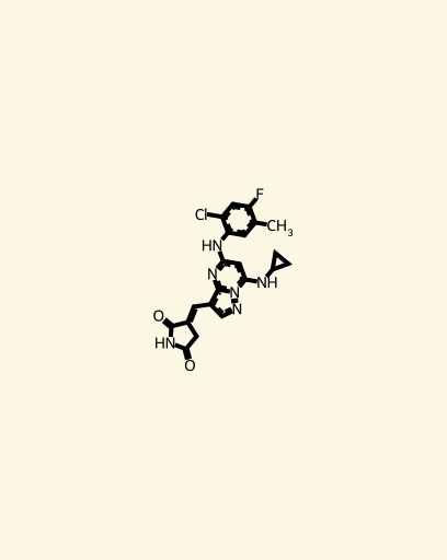 Cc1cc(Nc2cc(NC3CC3)n3ncc(C=C4CC(=O)NC4=O)c3n2)c(Cl)cc1F